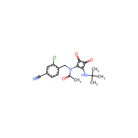 CC(=O)N(Cc1ccc(C#N)cc1Cl)c1c(NC(C)(C)C)c(=O)c1=O